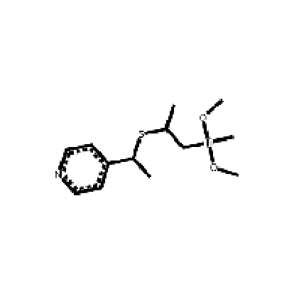 C[O][Ti]([CH3])([CH2]C(C)SC(C)c1ccncc1)[O]C